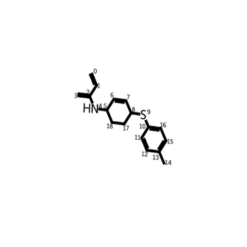 C=CC(=C)NC1C=CC(Sc2ccc(C)cc2)CC1